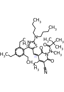 CCCCN(CCCC)c1nc(-c2c(CC)cc(CC)cc2CC)c(/C=C2\C(=O)N(N(C)C(=O)C(C)(C)C)C(=O)C(C#N)=C2C)s1